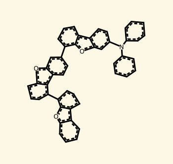 c1ccc(N(c2ccccc2)c2ccc3c(c2)oc2c(-c4ccc5c(c4)oc4cccc(-c6cccc7c6oc6ccccc67)c45)cccc23)cc1